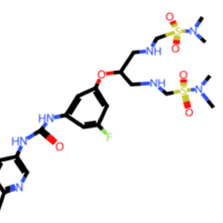 Cc1ccc(NC(=O)Nc2cc(F)cc(OC(CNCS(=O)(=O)N(C)C)CNCS(=O)(=O)N(C)C)c2)cn1